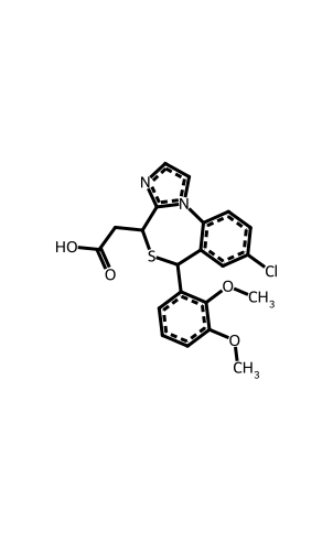 COc1cccc(C2SC(CC(=O)O)c3nccn3-c3ccc(Cl)cc32)c1OC